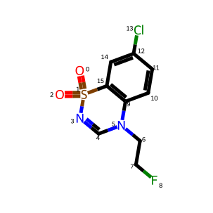 O=S1(=O)N=CN(CCF)c2ccc(Cl)cc21